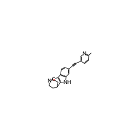 Cc1ccc(C#Cc2ccc3c4c([nH]c3c2)C2CCN(CC2)C4)cn1